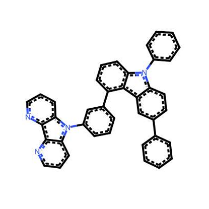 c1ccc(-c2ccc3c(c2)c2c(-c4cccc(-n5c6cccnc6c6ncccc65)c4)cccc2n3-c2ccccc2)cc1